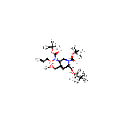 C=CCON(C(=O)OC(C)(C)C)C1CN(C(=O)OC(C)(C)C)C(CO[Si](C)(C)C(C)(C)C)C=C1COC